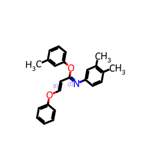 Cc1cccc(OC(/C=C/Oc2ccccc2)=N\c2ccc(C)c(C)c2)c1